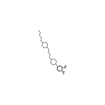 CCCCCC1CCC(CCCCC2CCC(c3ccc(F)c(F)c3)CC2)CC1